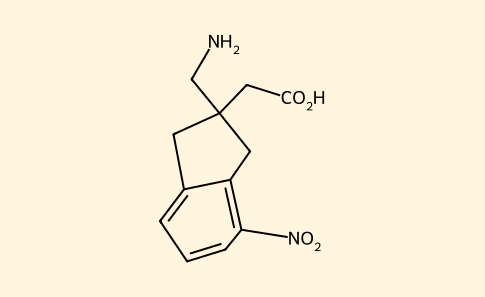 NCC1(CC(=O)O)Cc2cccc([N+](=O)[O-])c2C1